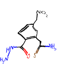 NNC(=O)c1ccc([N+](=O)[O-])cc1C(N)=S